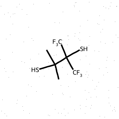 CC(C)(S)C(S)(C(F)(F)F)C(F)(F)F